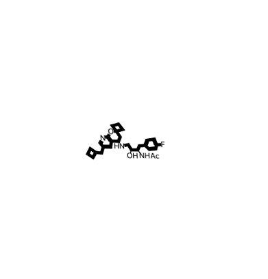 CC(=O)N[C@@H](Cc1ccc(F)cc1)[C@H](O)CN[C@H]1CC2(CCC2)Oc2ncc(CC3CCC3)cc21